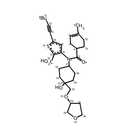 CC1=CCC(C(=O)N(c2cc(C#CC(C)(C)C)sc2C(=O)O)C2CCC(O)(CO[C@H]3CCOC3)CC2)CC1